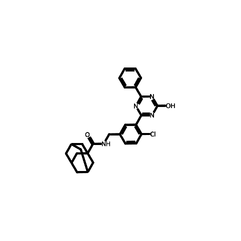 O=C(NCc1ccc(Cl)c(-c2nc(O)nc(-c3ccccc3)n2)c1)C12CC3CC(CC(C3)C1)C2